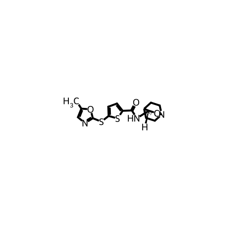 Cc1cnc(Sc2ccc(C(=O)N[C@H]3CN4CCC3CC4)s2)o1